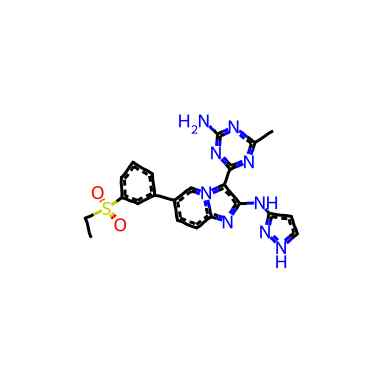 CCS(=O)(=O)c1cccc(-c2ccc3nc(Nc4cc[nH]n4)c(-c4nc(C)nc(N)n4)n3c2)c1